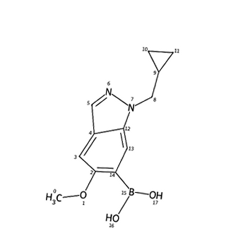 COc1cc2cnn(CC3CC3)c2cc1B(O)O